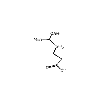 COC(OC)[SiH2]COC(=O)C(C)(C)C